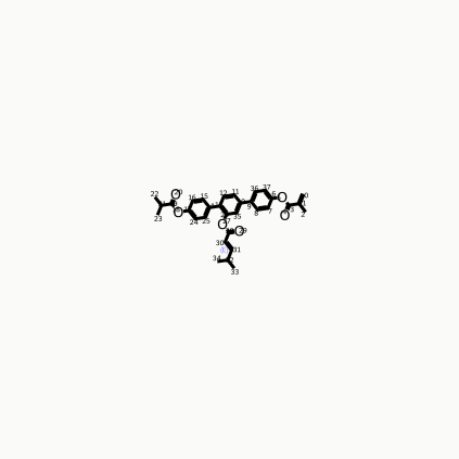 C=C(C)C(=O)Oc1ccc(-c2ccc(-c3ccc(OC(=O)C(C)C)cc3)c(OC(=O)/C=C/C(C)C)c2)cc1